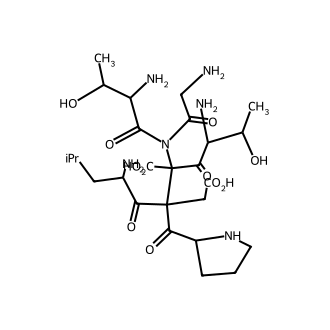 CC(C)CC(N)C(=O)C(CC(=O)O)(C(=O)C1CCCN1)C(C(=O)O)(C(=O)C(N)C(C)O)N(C(=O)CN)C(=O)C(N)C(C)O